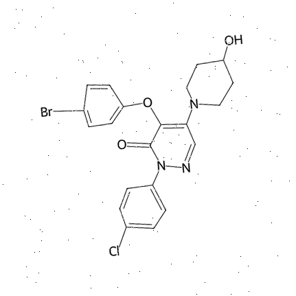 O=c1c(Oc2ccc(Br)cc2)c(N2CCC(O)CC2)cnn1-c1ccc(Cl)cc1